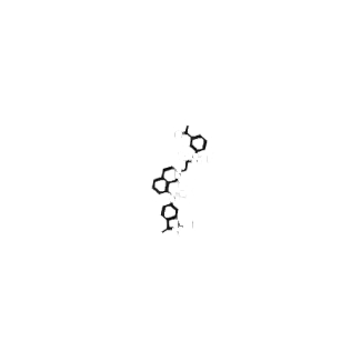 CC(=O)c1cccc(NC(=O)Cn2ccc3cccc(Nc4ccc5c(C)n[nH]c5c4)c3c2=O)c1